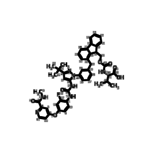 CNC(=O)c1cc(Oc2ccc(NC(=O)Nc3cc(C(C)(C)C)nn3-c3cccc(Cc4cccc5c4C(COC(=O)N[C@H](C(=O)O)C(C)C)c4ccccc4-5)c3)c(F)c2)ccn1